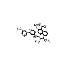 CNC(=O)c1c(F)cnc2c(C(C)[C@H](C)CNc3cc(-c4cncc(C#N)c4)ncn3)cccc12